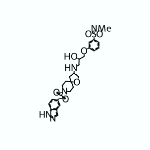 CNS(=O)(=O)c1cccc(OCC(O)CNC2COC3(CCN(S(=O)(=O)c4ccc5[nH]ncc5c4)CC3)C2)c1